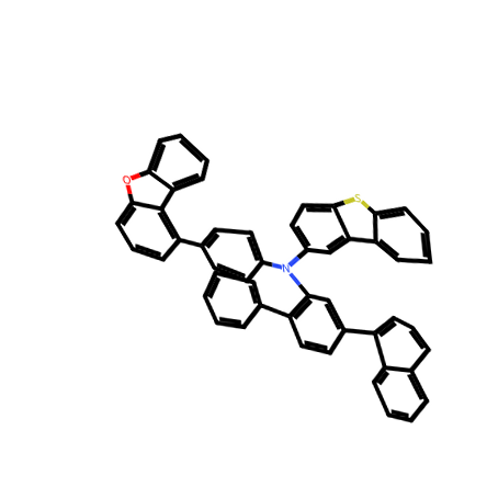 c1ccc(-c2ccc(-c3cccc4ccccc34)cc2N(c2ccc(-c3cccc4oc5ccccc5c34)cc2)c2ccc3sc4ccccc4c3c2)cc1